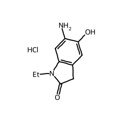 CCN1C(=O)Cc2cc(O)c(N)cc21.Cl